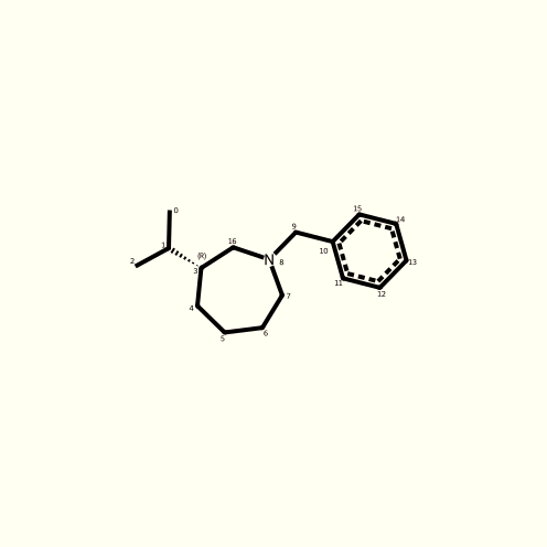 CC(C)[C@H]1CCCCN(Cc2ccccc2)C1